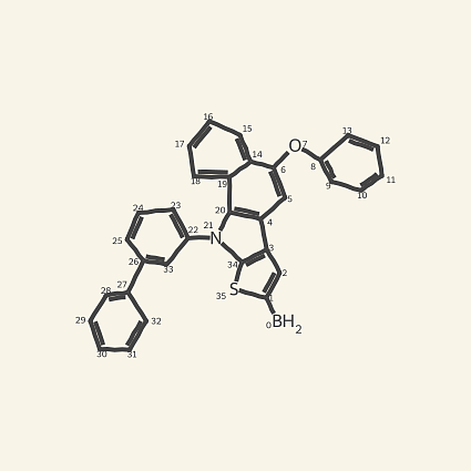 Bc1cc2c3cc(Oc4ccccc4)c4ccccc4c3n(-c3cccc(-c4ccccc4)c3)c2s1